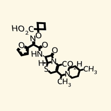 CC1CCN(C(C)C2=C(C(=O)O)N3C(=O)[C@@H](NC(=O)/C(=N\OC4(C(=O)O)CCC4)c4ccco4)[C@H]3SC2)CC1